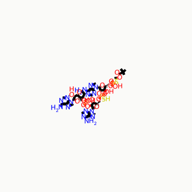 CC(C)(C)C(=O)OCSP(=O)(O)OC[C@H]1O[C@@H](n2cnc3c(N)ncnc32)C(OP(=O)(S)OC[C@H]2O[C@@H](n3cnc4c(N)ncnc43)C(OP(=O)(O)OC[C@]34CCCOC3C(O)[C@H](n3cnc5c(N)ncnc53)O4)C2O)C1O